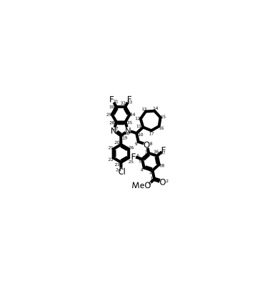 COC(=O)c1cc(F)c(OCC(C2CCCCCC2)n2c(-c3ccc(Cl)cc3)nc3cc(F)c(F)cc32)c(F)c1